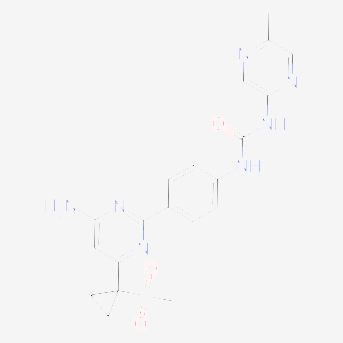 Cc1cnc(NC(=O)Nc2ccc(-c3nc(N)cc(C4(S(C)(=O)=O)CC4)n3)cc2)cn1